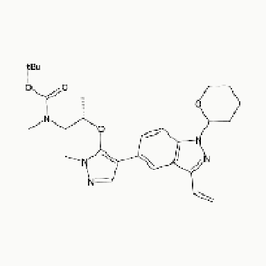 C=Cc1nn(C2CCCCO2)c2ccc(-c3cnn(C)c3O[C@@H](C)CN(C)C(=O)OC(C)(C)C)cc12